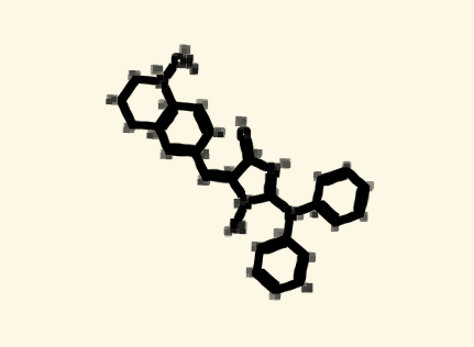 CCN1C(N(c2ccccc2)c2ccccc2)=NC(=O)/C1=C\c1ccc2c(c1)CCCN2C